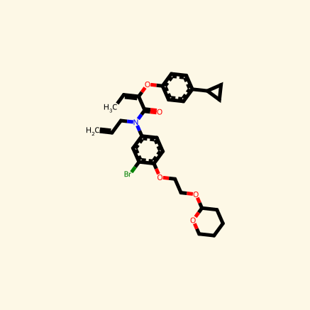 C=CCN(C(=O)C(=CC)Oc1ccc(C2CC2)cc1)c1ccc(OCCOC2CCCCO2)c(Br)c1